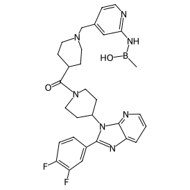 CB(O)Nc1cc(CN2CCC(C(=O)N3CCC(n4c(-c5ccc(F)c(F)c5)nc5cccnc54)CC3)CC2)ccn1